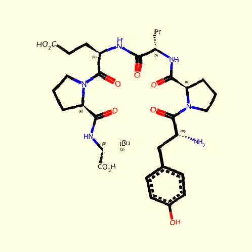 CC[C@H](C)[C@H](NC(=O)[C@H]1CCCN1C(=O)[C@@H](CCC(=O)O)NC(=O)[C@@H](NC(=O)[C@H]1CCCN1C(=O)[C@H](N)Cc1ccc(O)cc1)C(C)C)C(=O)O